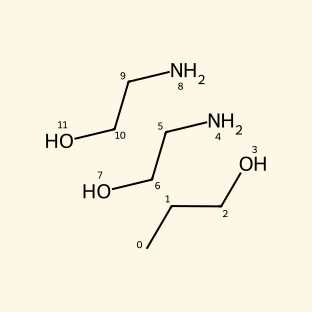 CCCO.NCCO.NCCO